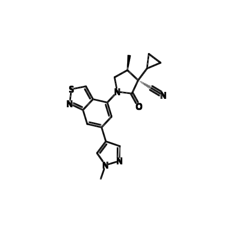 C[C@@H]1CN(c2cc(-c3cnn(C)c3)cc3nscc23)C(=O)[C@]1(C#N)C1CC1